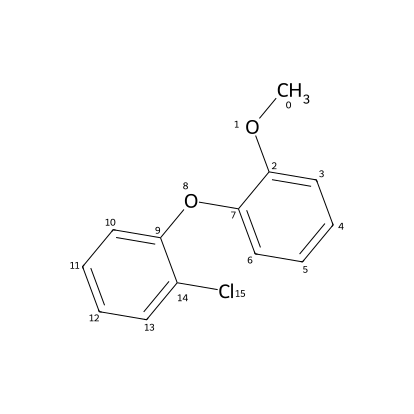 COc1ccccc1Oc1ccccc1Cl